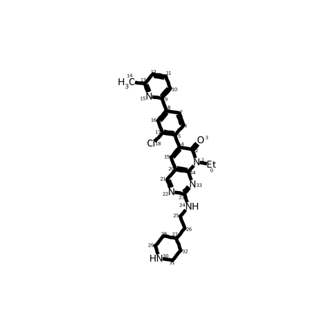 CCn1c(=O)c(-c2ccc(-c3cccc(C)n3)cc2Cl)cc2cnc(NCCC3CCNCC3)nc21